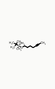 CC#CCCCCO[Si](C)(C)C(C)(C)C